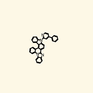 c1ccc(-c2ccnc(-n3c4ccccc4c4c5c6ccccc6n6c7ccccc7nc6c5ccc43)c2)cc1